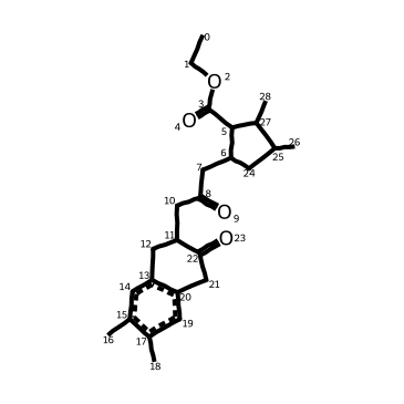 CCOC(=O)C1C(CC(=O)CC2Cc3cc(C)c(C)cc3CC2=O)CC(C)C1C